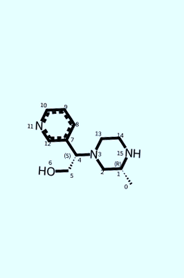 C[C@@H]1CN([C@H](CO)c2cccnc2)CCN1